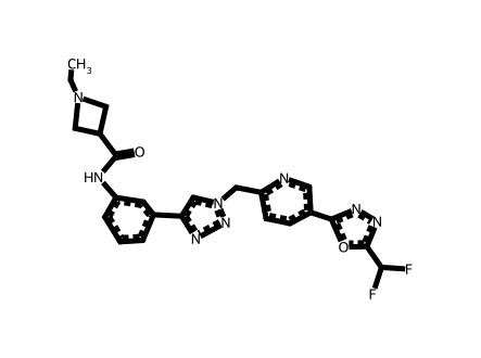 CCN1CC(C(=O)Nc2cccc(-c3cn(Cc4ccc(-c5nnc(C(F)F)o5)cn4)nn3)c2)C1